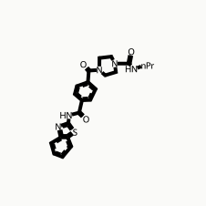 CCCNC(=O)N1CCN(C(=O)c2ccc(C(=O)Nc3nc4ccccc4s3)cc2)CC1